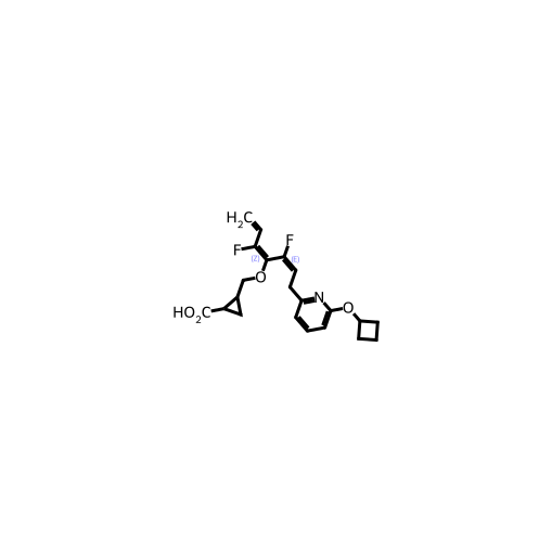 C=C/C(F)=C(OCC1CC1C(=O)O)\C(F)=C/Cc1cccc(OC2CCC2)n1